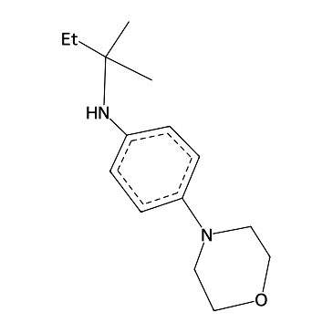 CCC(C)(C)Nc1ccc(N2CCOCC2)cc1